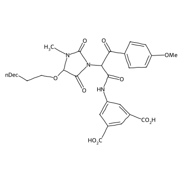 CCCCCCCCCCCCOC1C(=O)N(C(C(=O)Nc2cc(C(=O)O)cc(C(=O)O)c2)C(=O)c2ccc(OC)cc2)C(=O)N1C